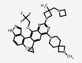 Cc1ccc2[nH]ncc2c1-c1c(C2CC2)cc2c(N3CCC4(CC3)CN(C)C4)nc(N3CC(C)(CN4CCC4)C3)nc2c1OCC(F)(F)F